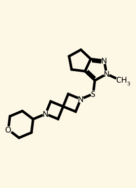 Cn1nc2c(c1SN1CC3(C1)CN(C1CCOCC1)C3)CCC2